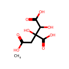 C.O=C(O)CC(O)(C(=O)O)C(O)C(=O)O